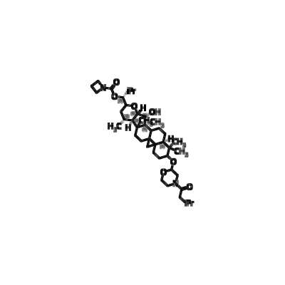 CC(C)CC(=O)N1CCOC(OC2CCC34CC35CCC3(C)[C@@H]6[C@H](OC([C@H](OC(=O)N7CCC7)C(C)C)C[C@H]6C)[C@H](O)[C@@]3(C)C5CC[C@H]4C2(C)C)C1